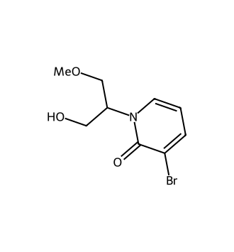 COCC(CO)n1cccc(Br)c1=O